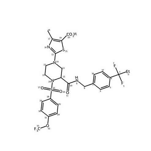 CCC(F)(F)c1ccc(CNC(=O)C2CN(c3nc(C)c(C(=O)O)s3)CCN2S(=O)(=O)c2ccc(OC(F)(F)F)cc2)cc1